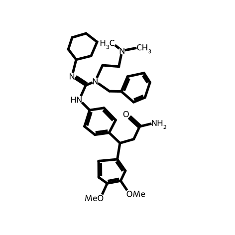 COc1ccc(C(CC(N)=O)c2ccc(N/C(=N/C3CCCCC3)N(CCN(C)C)Cc3ccccc3)cc2)cc1OC